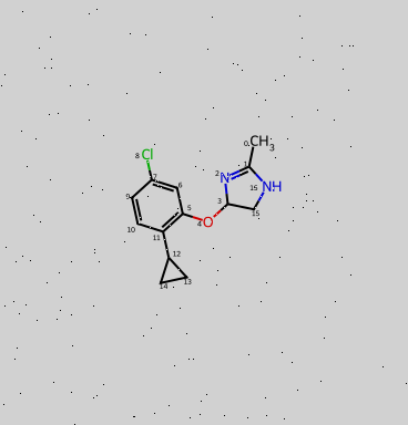 CC1=NC(Oc2cc(Cl)ccc2C2CC2)CN1